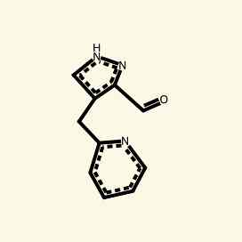 O=Cc1n[nH]cc1Cc1ccccn1